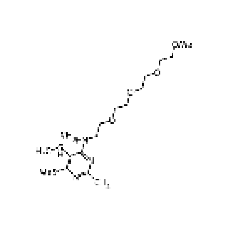 COCCOCCOCCOCCNc1nc(C)nc(SC)c1[SH](C)C